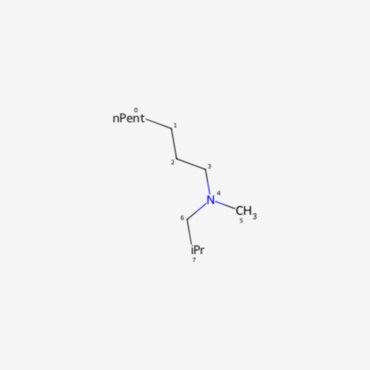 CCCCCCCCN(C)CC(C)C